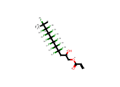 C=CC(=O)OCC(O)CC(F)(F)C(F)(F)C(F)(F)C(F)(F)C(F)(F)C(F)(F)C(C)(F)C(F)(F)F